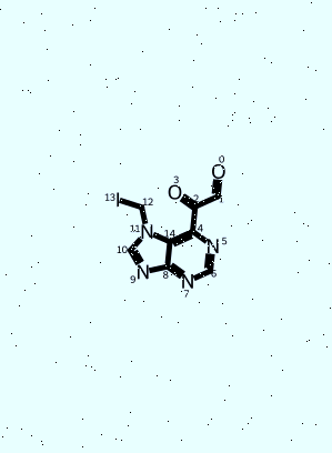 O=CC(=O)c1ncnc2ncn(CI)c12